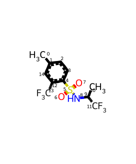 Cc1ccc(S(=O)(=O)NC(C)C(F)(F)F)c(C(F)(F)F)c1